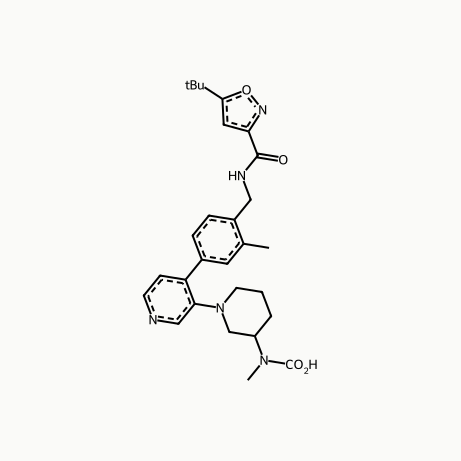 Cc1cc(-c2ccncc2N2CCCC(N(C)C(=O)O)C2)ccc1CNC(=O)c1cc(C(C)(C)C)on1